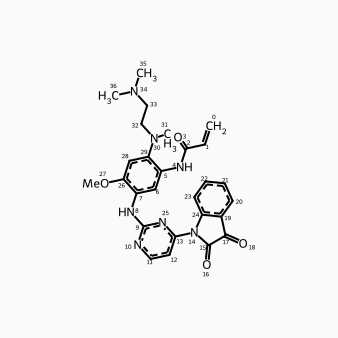 C=CC(=O)Nc1cc(Nc2nccc(N3C(=O)C(=O)c4ccccc43)n2)c(OC)cc1N(C)CCN(C)C